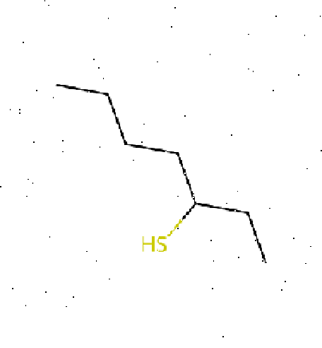 CCCCC(S)CC